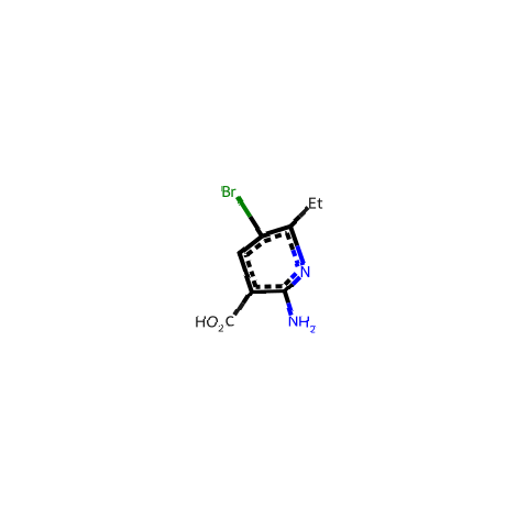 CCc1nc(N)c(C(=O)O)cc1Br